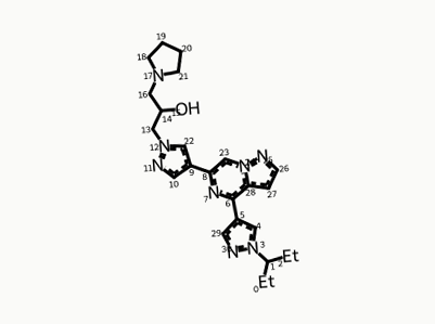 CCC(CC)n1cc(-c2nc(-c3cnn(CC(O)CN4CCCC4)c3)cn3nccc23)cn1